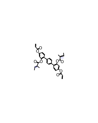 C=CC(=O)Oc1ccc(-c2ccc(-c3ccc(OC(=O)C=C)cc3OC(=O)/C(C)=C/C)cc2)c(OC(=O)/C(C)=C/C)c1